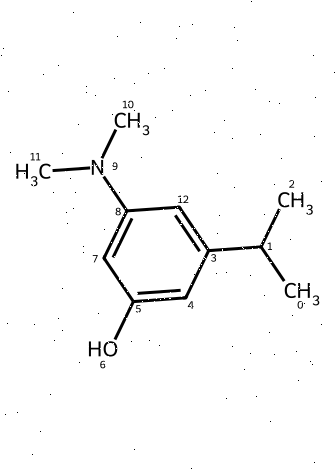 CC(C)c1cc(O)cc(N(C)C)c1